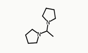 CC(N1CCCC1)N1CCCC1